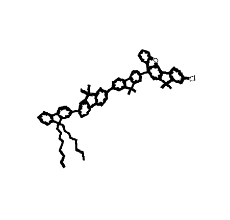 CCCCCCCCC1(CCCCCCCC)c2ccccc2-c2ccc(-c3ccc4c(c3)C(C)(C)c3cc(-c5ccc6c(c5)C(C)(C)c5cc(-c7cc8c(c9oc%10ccccc%10c79)-c7ccc(Cl)cc7C8(C)C)ccc5-6)ccc3-4)cc21